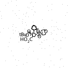 CC(C)(C)OC(=O)N1C(C(=O)O)CC(S(=O)(=O)N2CCOCC2)C1c1ccccc1F